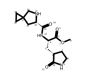 COC(=O)[C@H](C[C@@H]1CCNC1=O)NC(=O)[C@@H]1CC2(CC2)CN1